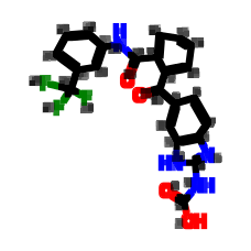 O=C(O)Nc1nc2ccc(C(=O)c3ccccc3C(=O)Nc3cccc(C(F)(F)F)c3)cc2[nH]1